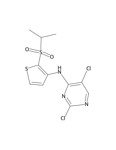 CC(C)S(=O)(=O)c1sccc1Nc1nc(Cl)ncc1Cl